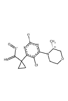 C[C@@H]1COCCN1c1nc(Cl)nc(C2(C(=N)[S+]=O)CC2)c1Cl